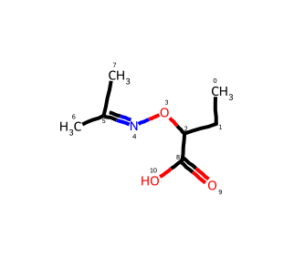 CCC(ON=C(C)C)C(=O)O